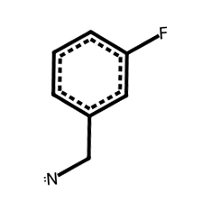 [N]Cc1cccc(F)c1